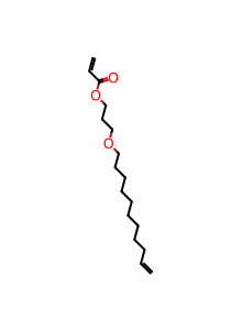 C=CCCCCCCCCCOCCCOC(=O)C=C